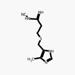 Cc1nc[nH]c1CSCCC(=N)NC#N